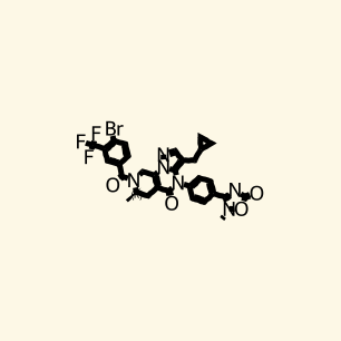 C[C@@H]1Cc2c(n3ncc(CC4CC4)c3n(-c3ccc(-c4nc(=O)on4C)cc3)c2=O)CN1C(=O)c1ccc(Br)c(C(F)(F)F)c1